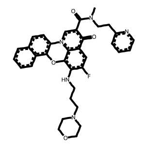 CN(CCc1ccccn1)C(=O)c1cn2c3c(c(NCCCN4CCOCC4)c(F)cc3c1=O)Oc1c-2ccc2ccccc12